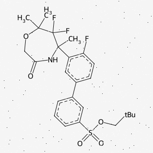 CC(C)(C)COS(=O)(=O)c1cccc(-c2ccc(F)c(C3(C)NC(=O)COC(C)(C)C3(F)F)c2)c1